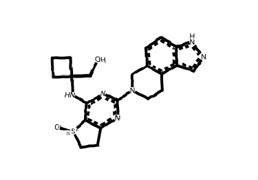 [O-][S@+]1CCc2nc(N3CCc4c(ccc5[nH]ncc45)C3)nc(NC3(CO)CCC3)c21